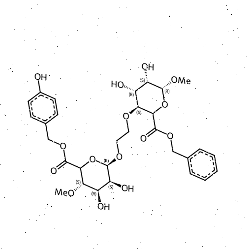 CO[C@@H]1OC(C(=O)OCc2ccccc2)[C@@H](OCCO[C@@H]2OC(C(=O)OCc3ccc(O)cc3)[C@@H](OC)[C@H](O)[C@@H]2O)[C@H](O)[C@@H]1O